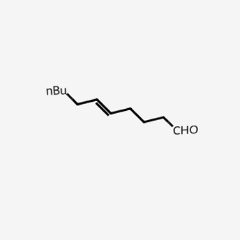 CCCCC/C=C/CCCC=O